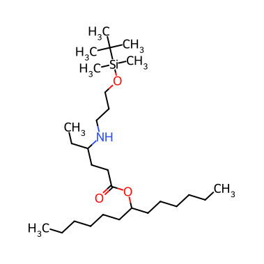 CCCCCCC(CCCCCC)OC(=O)CCC(CC)NCCCO[Si](C)(C)C(C)(C)C